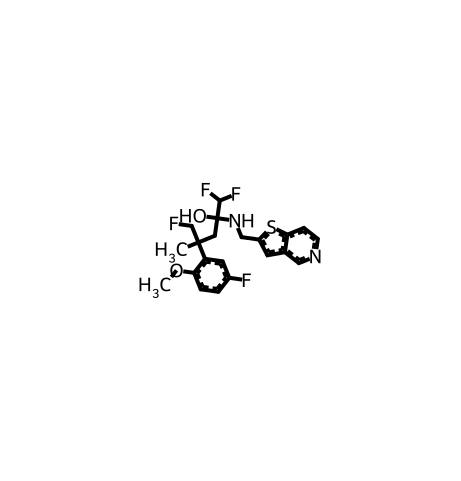 COc1ccc(F)cc1C(C)(CF)CC(O)(NCc1cc2cnccc2s1)C(F)F